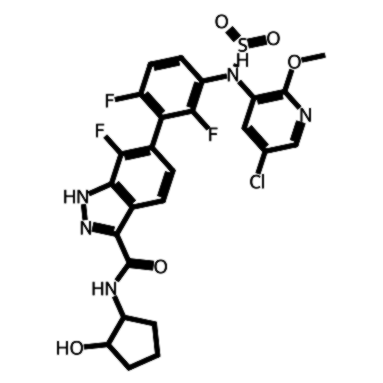 COc1ncc(Cl)cc1N(c1ccc(F)c(-c2ccc3c(C(=O)NC4CCCC4O)n[nH]c3c2F)c1F)[SH](=O)=O